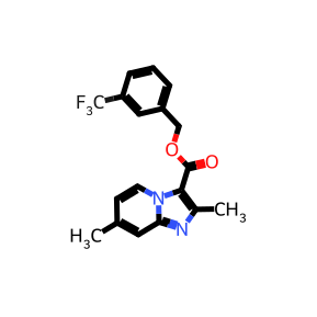 Cc1ccn2c(C(=O)OCc3cccc(C(F)(F)F)c3)c(C)nc2c1